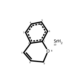 C1=Cc2ccccc2OC1.[SrH2]